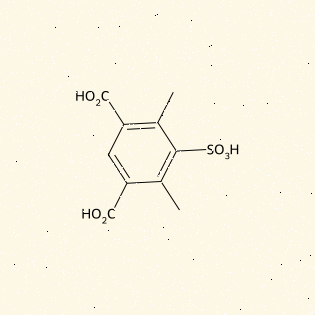 Cc1c(C(=O)O)cc(C(=O)O)c(C)c1S(=O)(=O)O